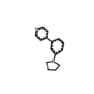 [CH]1CCN(c2cccc(-c3ccncc3)c2)C1